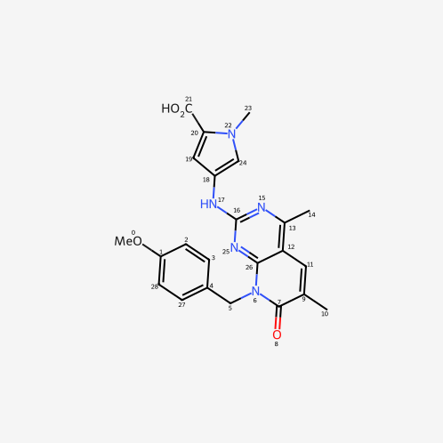 COc1ccc(Cn2c(=O)c(C)cc3c(C)nc(Nc4cc(C(=O)O)n(C)c4)nc32)cc1